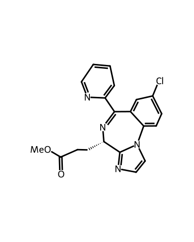 COC(=O)CC[C@@H]1N=C(c2ccccn2)c2cc(Cl)ccc2-n2ccnc21